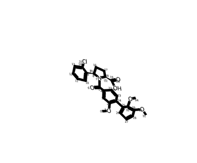 COc1cc(C(=O)N2[C@@H](c3ccccc3Cl)CC[C@H]2C(=O)O)ccc1-c1cccc(OC)c1OC